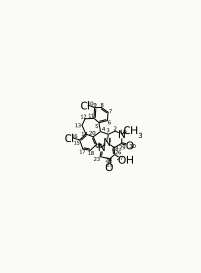 CN1CC(C2c3cccc(Cl)c3CCc3c(Cl)cccc32)n2ncc(=O)c(O)c2C1=O